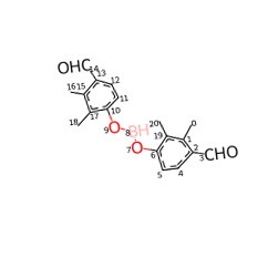 Cc1c(C=O)ccc(OBOc2ccc(C=O)c(C)c2C)c1C